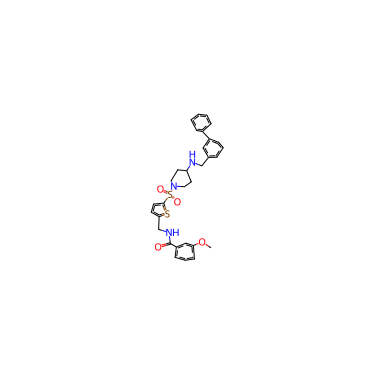 COc1cccc(C(=O)NCc2ccc(S(=O)(=O)N3CCC(NCc4cccc(-c5ccccc5)c4)CC3)s2)c1